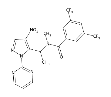 CC(c1c([N+](=O)[O-])cnn1-c1ncccn1)N(C)C(=O)c1cc(C(F)(F)F)cc(C(F)(F)F)c1